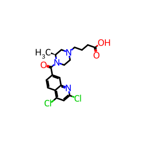 C[C@H]1CN(CCCC(=O)O)CCN1C(=O)c1ccc2c(Cl)cc(Cl)nc2c1